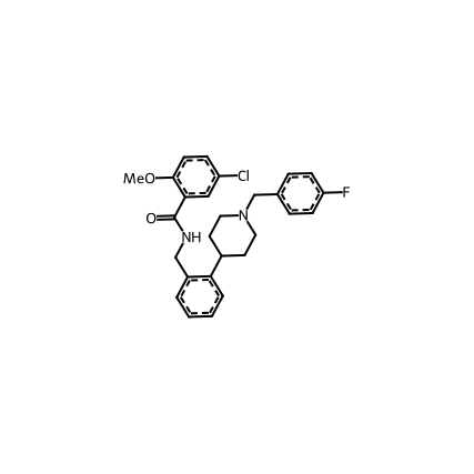 COc1ccc(Cl)cc1C(=O)NCc1ccccc1C1CCN(Cc2ccc(F)cc2)CC1